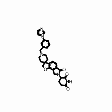 O=C1CCC(N2Cc3c(ccc4c3OCC43CCN(Cc4cccc(-n5ccnc5)c4)CC3)C2=O)C(=O)N1